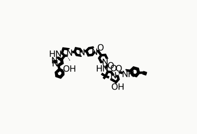 C#Cc1ccc(CNC(=O)[C@@H]2C[C@@H](O)CN2C(=O)[C@@H](NC(=O)N2CCC(C(=O)N3CCC(N4CCC(N5CCC6Nc7nnc(-c8ccccc8O)cc7C6[C@H]5C)CC4)CC3)CC2)C(C)(C)C)cc1